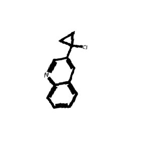 ClC1(c2cnc3ccccc3c2)CC1